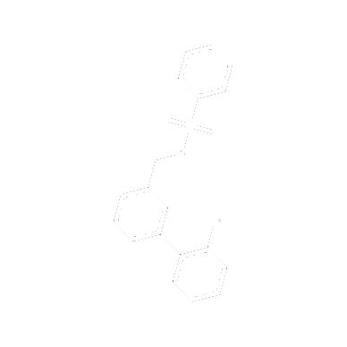 O=S(=O)(NCc1cccc(-c2cc[c]cc2O)c1)c1ccccc1